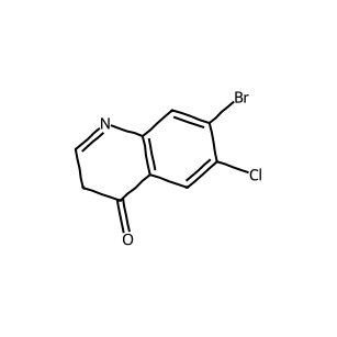 O=C1CC=Nc2cc(Br)c(Cl)cc21